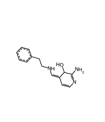 NC1=NC=CC(=CNCCc2ccccc2)C1O